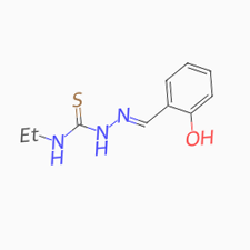 CCNC(=S)NN=Cc1ccccc1O